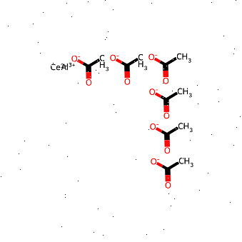 CC(=O)[O-].CC(=O)[O-].CC(=O)[O-].CC(=O)[O-].CC(=O)[O-].CC(=O)[O-].[Al+3].[Ce+3]